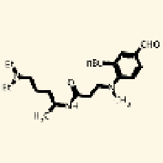 CCCCc1cc(C=O)ccc1N(C)CCC(=O)NC(C)CCCN(CC)CC